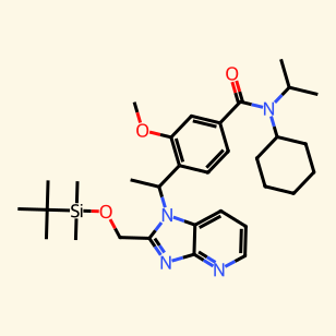 COc1cc(C(=O)N(C(C)C)C2CCCCC2)ccc1C(C)n1c(CO[Si](C)(C)C(C)(C)C)nc2ncccc21